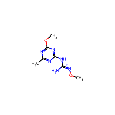 CO/N=C(\N)Nc1nc(C)nc(OC)n1